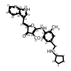 Cc1cc(CNC2CCCC2)ccc1NC1=C(C(=O)O)C(=O)C(=Cc2c[nH]c3ncccc23)O1